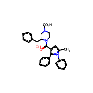 Cc1cc(C(=O)N2CCN(C(=O)O)C[C@H]2[C@H](O)c2ccccc2)c(-c2ccccc2)n1-c1ccccc1